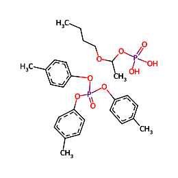 CCCCOC(C)OP(=O)(O)O.Cc1ccc(OP(=O)(Oc2ccc(C)cc2)Oc2ccc(C)cc2)cc1